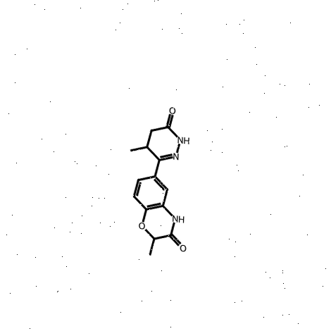 CC1CC(=O)NN=C1c1ccc2c(c1)NC(=O)C(C)O2